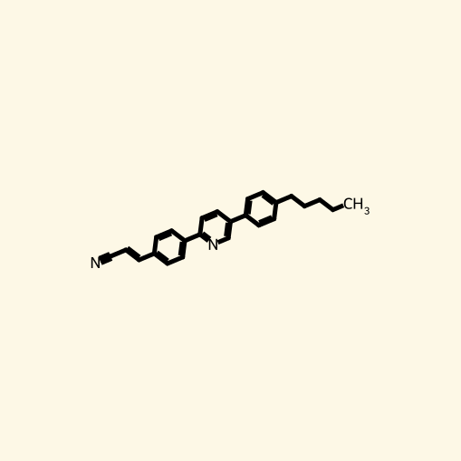 CCCCCc1ccc(-c2ccc(-c3ccc(C=CC#N)cc3)nc2)cc1